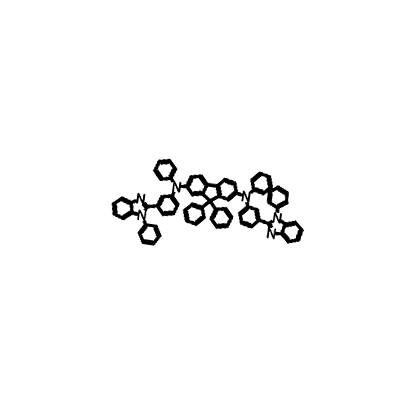 c1ccc(N(c2cccc(-c3nc4ccccc4n3-c3ccccc3)c2)c2ccc3c(c2)C(c2ccccc2)(c2ccccc2)c2cc(N(c4ccccc4)c4cccc(-c5nc6ccccc6n5-c5ccccc5)c4)ccc2-3)cc1